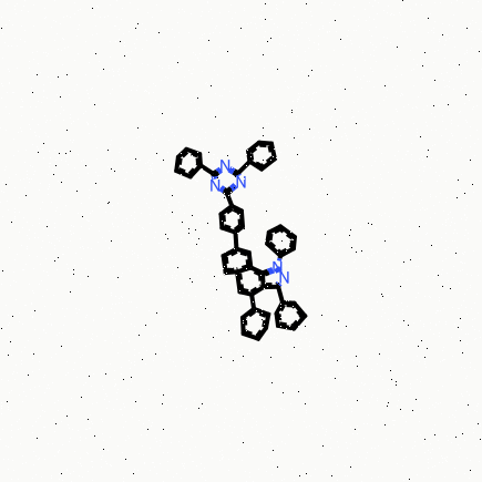 c1ccc(-c2nc(-c3ccccc3)nc(-c3ccc(-c4ccc5cc(-c6ccccc6)c6c(-c7ccccc7)nn(-c7ccccc7)c6c5c4)cc3)n2)cc1